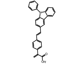 C=C(C(=O)O)c1ccc(C=Cc2ccc3c(c2)c2ccccc2n3-c2ccccc2)cc1